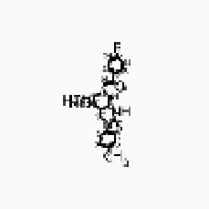 Cc1ccc2c(c1)sc(=N)n2CC1CCN(CC(=O)c2ccc(F)cc2)CC1.Cl.Cl